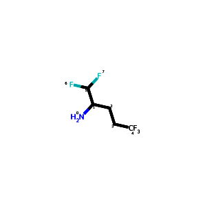 NC(CCC(F)(F)F)C(F)F